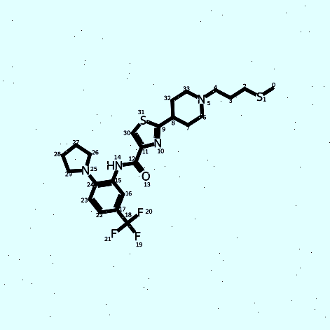 CSCCCN1CCC(c2nc(C(=O)Nc3cc(C(F)(F)F)ccc3N3CCCC3)cs2)CC1